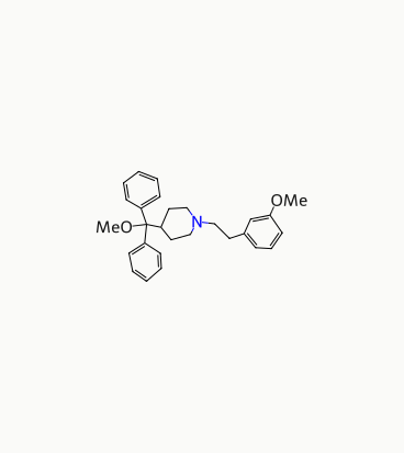 COc1cccc(CCN2CCC(C(OC)(c3ccccc3)c3ccccc3)CC2)c1